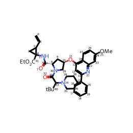 C=CC1CC1(NC(=O)[C@@H]1C[C@@H](Oc2cc(-c3ccccc3)nc3cc(OC)ccc23)CN1C(=O)C(N1CCCCC1)C(C)(C)C)C(=O)OCC